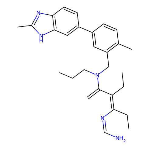 C=C(/C(CC)=C(CC)\N=C/N)N(CCC)Cc1cc(-c2ccc3nc(C)[nH]c3c2)ccc1C